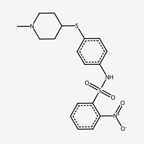 CN1CCC(Sc2ccc(NS(=O)(=O)c3ccccc3[N+](=O)[O-])cc2)CC1